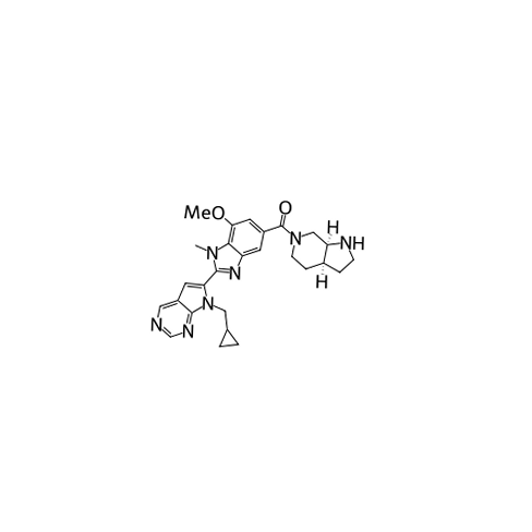 COc1cc(C(=O)N2CC[C@@H]3CCN[C@@H]3C2)cc2nc(-c3cc4cncnc4n3CC3CC3)n(C)c12